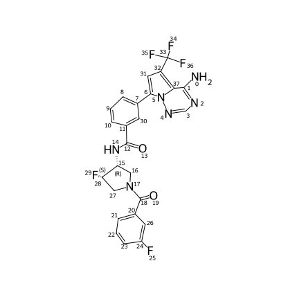 Nc1ncnn2c(-c3cccc(C(=O)N[C@@H]4CN(C(=O)c5cccc(F)c5)C[C@@H]4F)c3)cc(C(F)(F)F)c12